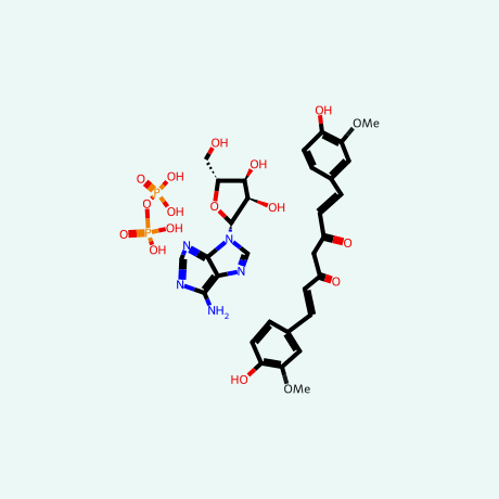 COc1cc(/C=C/C(=O)CC(=O)/C=C/c2ccc(O)c(OC)c2)ccc1O.Nc1ncnc2c1ncn2[C@@H]1O[C@H](CO)[C@@H](O)[C@H]1O.O=P(O)(O)OP(=O)(O)O